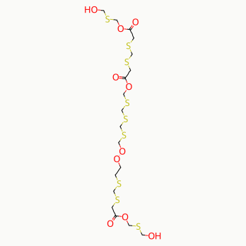 O=C(CSCSCCOOCSCSCSCOC(=O)CSCSCC(=O)OCSCO)OCSCO